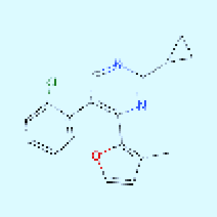 Cc1ccoc1-c1nc(C2CC2)ncc1-c1ccccc1Cl